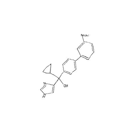 CC(=O)Nc1cccc(-c2ccc(C(O)(c3c[nH]cn3)C3CC3)cc2)c1